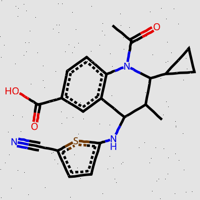 CC(=O)N1c2ccc(C(=O)O)cc2C(Nc2ccc(C#N)s2)C(C)C1C1CC1